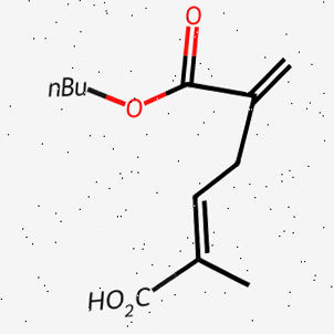 C=C(CC=C(C)C(=O)O)C(=O)OCCCC